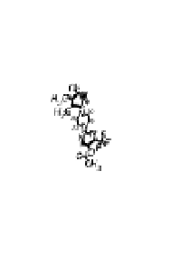 CC(=O)Oc1cnc(N2CCN(c3nnc(Cl)c(C)c3C)CC2)nc1C(F)(F)F